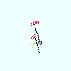 CCCCCCCCCCCC(=O)O.CCCCCCCCCCCC(=O)O.S.c1ccccc1